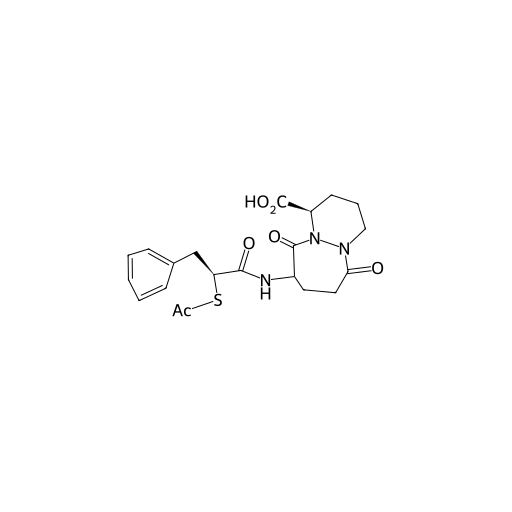 CC(=O)S[C@@H](Cc1ccccc1)C(=O)NC1CCC(=O)N2CCC[C@H](C(=O)O)N2C1=O